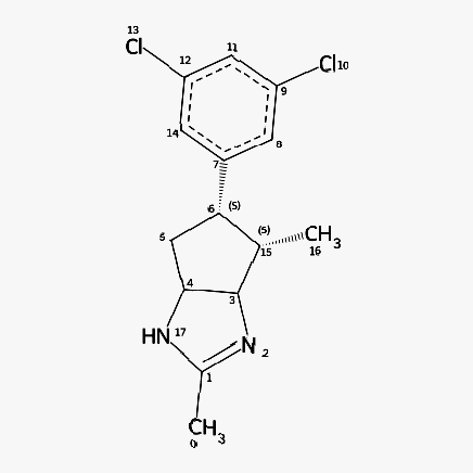 CC1=NC2C(C[C@H](c3cc(Cl)cc(Cl)c3)[C@@H]2C)N1